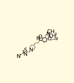 CN(C)Cc1c(OCC2CC2)ccc2c(CCC3CCN(Cc4nc(C#N)cs4)CC3)noc12